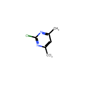 Cc1cc(C(Cl)(Cl)Cl)nc(Cl)n1